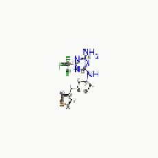 CCC(CCCc1ccsc1)Nc1nc(N)nc(C(F)(F)F)n1